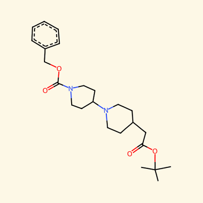 CC(C)(C)OC(=O)CC1CCN(C2CCN(C(=O)OCc3ccccc3)CC2)CC1